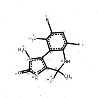 Cc1c(Br)cc(F)c2c1-c1c([nH]c(=O)n1C)C(C)(C)N2